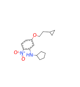 O=[N+]([O-])c1ccc(OCCC2CC2)cc1NC1CCCC1